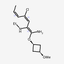 C\C=C/C(Cl)=C\C(NCC)=C(/N)O[C@H]1C[C@@H](OC)C1